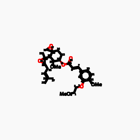 COCCOc1cc(/C=C/C(=O)O[C@@H]2CCC3(CO3)C(C3(C)OC3CC=C(C)C)[C@@H]2OC)ccc1OC